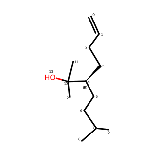 C=CCC[C@@H](CCC(C)C)C(C)(C)O